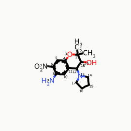 CC1(C)Oc2cc([N+](=O)[O-])c(N)cc2C(N2CCCC2)C1O